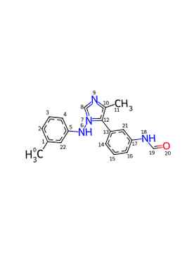 Cc1cccc(Nn2cnc(C)c2-c2cccc(NC=O)c2)c1